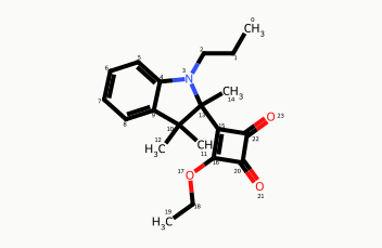 CCCN1c2ccccc2C(C)(C)C1(C)c1c(OCC)c(=O)c1=O